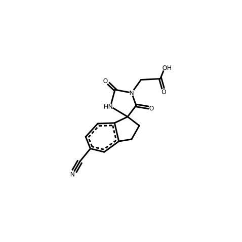 N#Cc1ccc2c(c1)CCC21NC(=O)N(CC(=O)O)C1=O